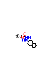 CC(C)(C)OC(=O)NNC1CCc2ccccc2CC1